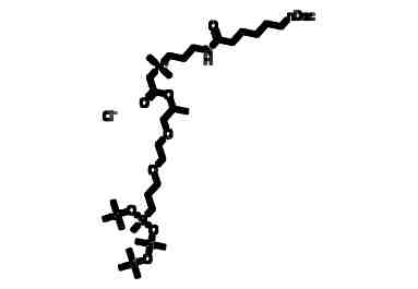 CCCCCCCCCCCCCCCC(=O)NCCC[N+](C)(C)CC(=O)OC(C)COCCOCCC[Si](C)(O[Si](C)(C)C)O[Si](C)(C)O[Si](C)(C)C.[Cl-]